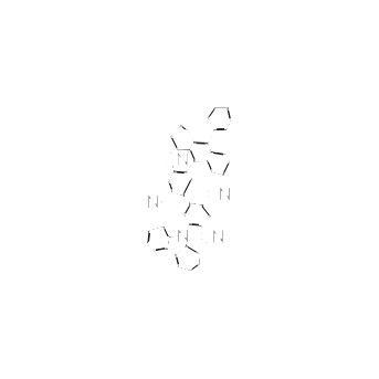 N#Cc1cc(C#N)c(-c2c3ccccc3c(-c3ccccc3)c3ccccc23)cc1-c1cc(-n2c3ccccc3c3ccccc32)c(C#N)cc1C#N